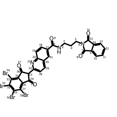 O=C(NCCCN1C(=O)c2ccccc2C1=O)c1ccc2nc(C3C(=O)c4c(Br)c(Br)c(Br)c(Br)c4C3=O)ccc2c1